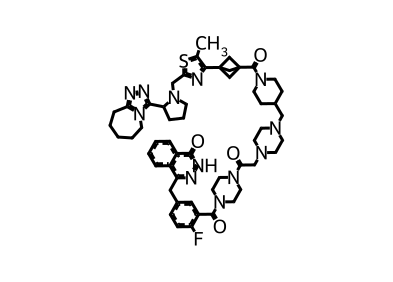 Cc1sc(CN2CCCC2c2nnc3n2CCCCC3)nc1C12CC(C(=O)N3CCC(CN4CCN(CC(=O)N5CCN(C(=O)c6cc(Cc7n[nH]c(=O)c8ccccc78)ccc6F)CC5)CC4)CC3)(C1)C2